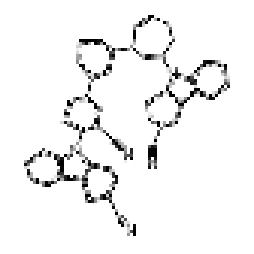 N#Cc1ccc2c(c1)c1ccccc1n2C1=CC(c2cccc(-c3ccc(-n4c5ccccc5c5cc(C#N)ccc54)c(C#N)c3)c2)C=CCC1